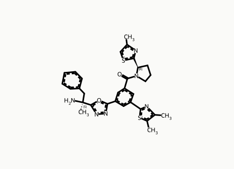 Cc1csc([C@H]2CCCN2C(=O)c2cc(-c3nnc([C@@](C)(N)Cc4ccccc4)o3)cc(-c3nc(C)c(C)s3)c2)n1